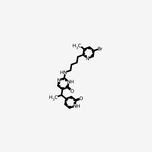 Cc1cc(Br)cnc1CCCCNc1ncc(C(C)c2cc[nH]c(=O)c2)c(=O)[nH]1